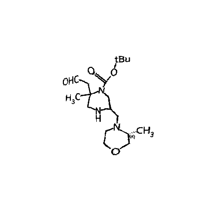 C[C@@H]1COCCN1CC1CN(C(=O)OC(C)(C)C)C(C)(CC=O)CN1